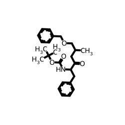 CC(COCc1ccccc1)CC(=O)C(Cc1ccccc1)NC(=O)OC(C)(C)C